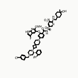 COc1nc2[nH]cc(F)c2cc1Oc1cc(N2CCC3(CC2)CC(N2CCN(Cc4ccc(Cl)cc4)C[C@H]2c2ccccc2C(C)C)C3)ccc1C(=O)NS(=O)(=O)c1cnc(NCC2CCC(C)(O)CC2)c([N+](=O)[O-])c1